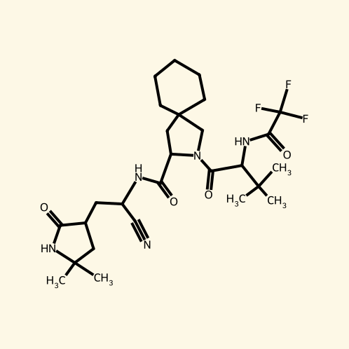 CC1(C)CC(CC(C#N)NC(=O)C2CC3(CCCCC3)CN2C(=O)C(NC(=O)C(F)(F)F)C(C)(C)C)C(=O)N1